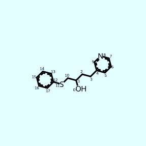 OC(CCc1cccnc1)CSc1ccccc1